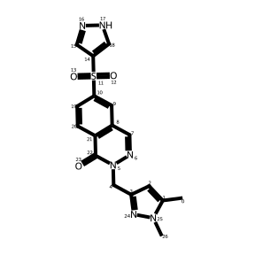 Cc1cc(Cn2ncc3cc(S(=O)(=O)c4cn[nH]c4)ccc3c2=O)nn1C